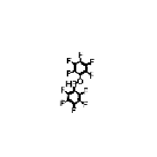 Fc1c(F)c(F)c(BOc2c(F)c(F)c(F)c(F)c2F)c(F)c1F